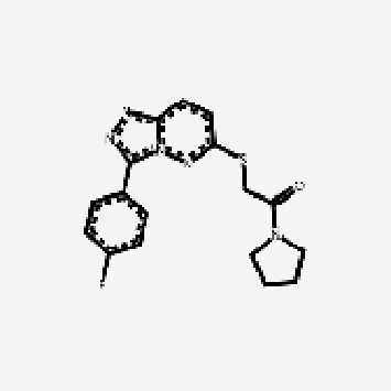 O=C(CSc1ccc2nnc(-c3ccc(F)cc3)n2n1)N1CCCC1